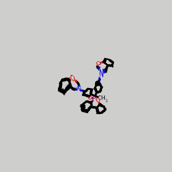 CC(c1ccc(N2COc3ccccc3C2)cc1)(c1ccc(N2COc3ccccc3C2)cc1)P1(=O)Oc2ccccc2-c2ccccc21